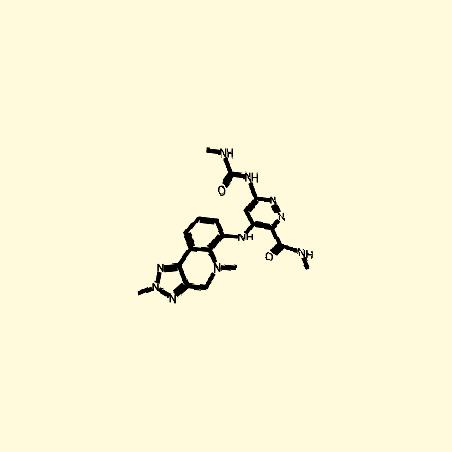 CNC(=O)Nc1cc(Nc2cccc3c2N(C)Cc2nn(C)nc2-3)c(C(=O)NC)nn1